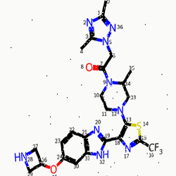 Cc1nc(C)n(CC(=O)N2CCN(c3sc(C(F)(F)F)nc3-c3nc4ccc(OC5CNC5)cc4[nH]3)CC2C)n1